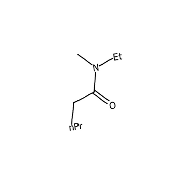 CCCCC(=O)N(C)CC